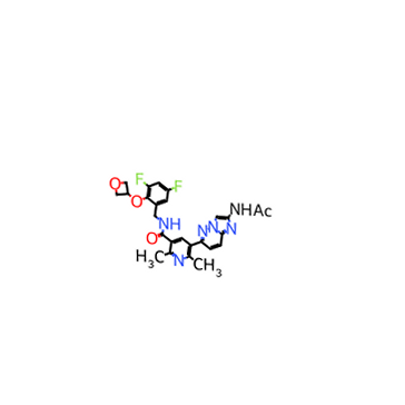 CC(=O)Nc1cn2nc(-c3cc(C(=O)NCc4cc(F)cc(F)c4OC4COC4)c(C)nc3C)ccc2n1